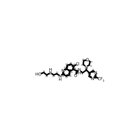 O=C(NCC(c1cnc(C(F)(F)F)nc1)N1CCOCC1)c1c(Cl)ccc2nc(NCCNCCO)ccc12